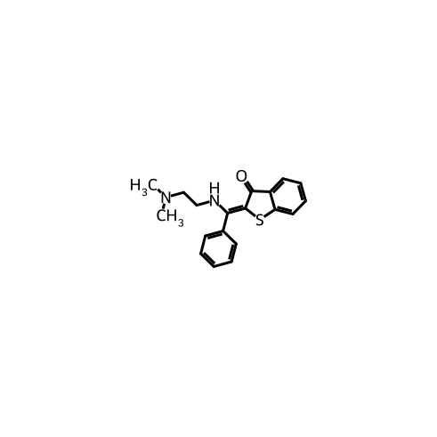 CN(C)CCN/C(=C1/Sc2ccccc2C1=O)c1ccccc1